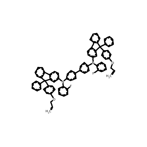 C=CCOc1ccc(C2(c3ccccc3)c3ccccc3-c3ccc(N(c4ccc(-c5ccc(N(c6ccc7c(c6)C(c6ccccc6)(c6ccc(OCC=C)cc6)c6ccccc6-7)c6ccccc6F)cc5)cc4)c4ccccc4F)cc32)cc1